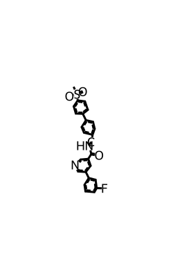 CS(=O)(=O)c1ccc(-c2ccc(CNC(=O)c3cncc(-c4cccc(F)c4)c3)cc2)cc1